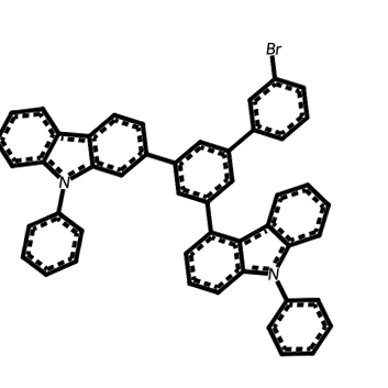 Brc1cccc(-c2cc(-c3ccc4c5ccccc5n(-c5ccccc5)c4c3)cc(-c3cccc4c3c3ccccc3n4-c3ccccc3)c2)c1